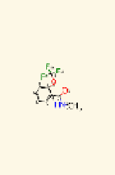 CNC(=O)c1c[c]ccc1OC(F)(F)F